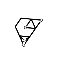 C1CC23OC2(O3)C23OC12O3